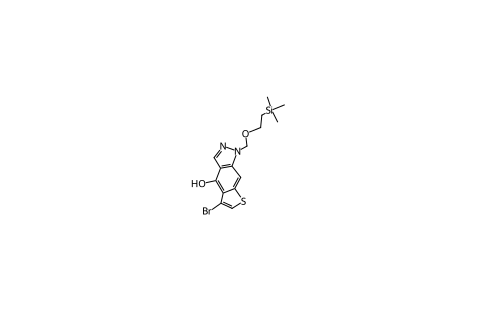 C[Si](C)(C)CCOCn1ncc2c(O)c3c(Br)csc3cc21